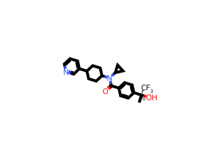 C[C@](O)(c1ccc(C(=O)N(C2CCC(c3cccnc3)CC2)C2CC2)cc1)C(F)(F)F